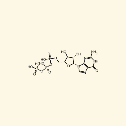 Nc1nc2c(ncn2[C@@H]2O[C@H](COP(O)(=S)OP(=O)(O)OP(=O)(O)O)C(O)[C@@H]2O)c(=O)[nH]1